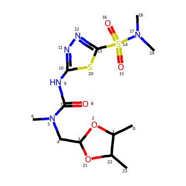 CC1OC(CN(C)C(=O)Nc2nnc(S(=O)(=O)N(C)C)s2)OC1C